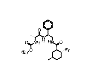 CC(C)[C@@H]1CC[C@@H](C)C[C@H]1C(=O)NC[C@@H](NC(=O)[C@@H](C)NC(=O)OC(C)(C)C)c1ccccc1